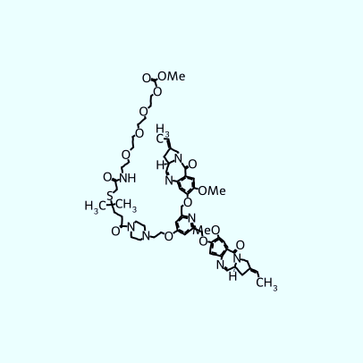 C/C=C1\C[C@H]2C=Nc3cc(OCc4cc(OCCN5CCN(C(=O)CCC(C)(C)SCC(=O)NCCOCCOCCOCCOC(=O)OC)CC5)cc(COc5cc6c(cc5OC)C(=O)N5C/C(=C/C)C[C@H]5C=N6)n4)c(OC)cc3C(=O)N2C1